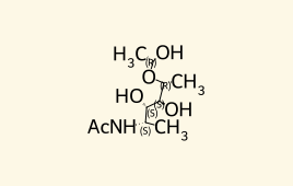 CC(=O)N[C@@H](C)[C@H](O)[C@H](O)[C@@H](C)O[C@H](C)O